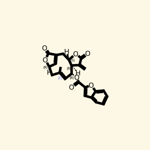 C=C1C(=O)O[C@H]2CC3=C[C@@H](C/C(C)=C/[C@@H](OC(=O)c4cc5ccccc5o4)[C@H]12)OC3=O